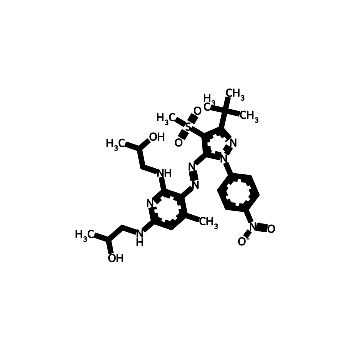 Cc1cc(NCC(C)O)nc(NCC(C)O)c1N=Nc1c(S(C)(=O)=O)c(C(C)(C)C)nn1-c1ccc([N+](=O)[O-])cc1